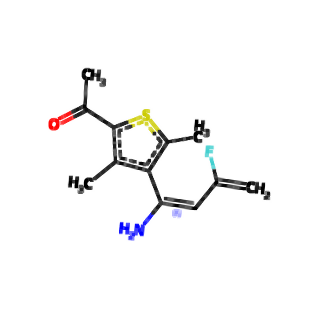 C=C(F)/C=C(/N)c1c(C)sc(C(C)=O)c1C